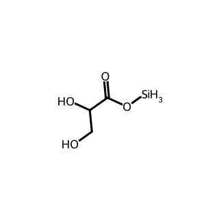 O=C(O[SiH3])C(O)CO